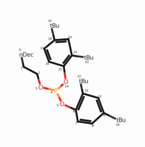 CCCCCCCCCCCCOP(Oc1ccc(C(C)(C)C)cc1C(C)(C)C)Oc1ccc(C(C)(C)C)cc1C(C)(C)C